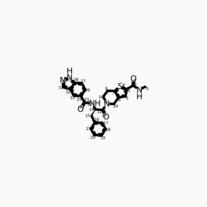 CNC(=O)c1cc2c(s1)CCN(C(=O)[C@@H](Cc1ccccc1)NC(=O)c1ccc3[nH]ncc3c1)C2